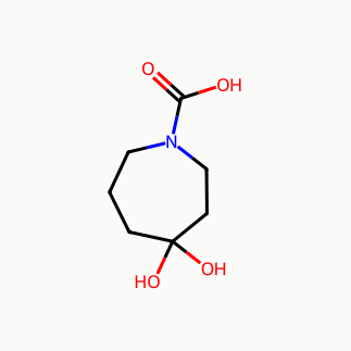 O=C(O)N1CCCC(O)(O)CC1